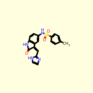 Cc1ccc(S(=O)(=O)Nc2ccc3c(c2)C(=Cc2ncc[nH]2)C(=O)N3)cc1